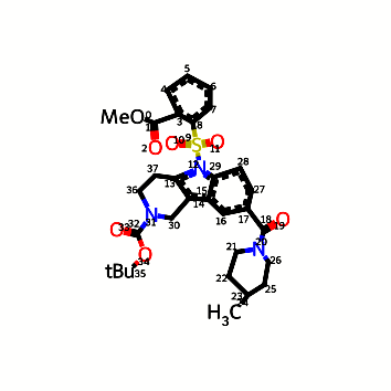 COC(=O)c1ccccc1S(=O)(=O)n1c2c(c3cc(C(=O)N4CCC(C)CC4)ccc31)CN(C(=O)OC(C)(C)C)CC2